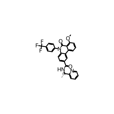 COc1cccc2c1c(=O)n(-c1ccc(C(F)(F)F)cc1)c1ccc(C(=O)N[C@@H](C)c3ccccn3)cc21